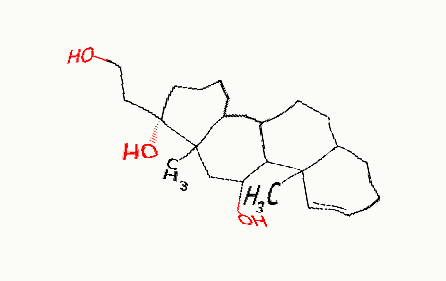 CC12C=CCCC1CCC1C2C(O)CC2(C)C1CC[C@]2(O)CCO